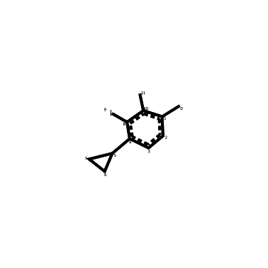 Cc1ccc(C2CC2)c(I)c1C